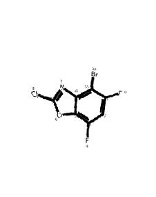 Fc1cc(F)c2oc(Cl)nc2c1Br